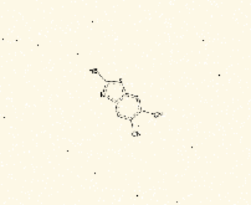 N#Cc1cc2nc(S)sc2cc1C#N